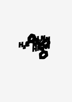 Cc1cccc2cc(-c3nc(C4CCCCC4)n4ncnc(N)c34)[nH]c12